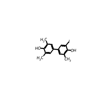 Cc1cc(-c2cc(C)c(O)c(I)c2)cc(C)c1O